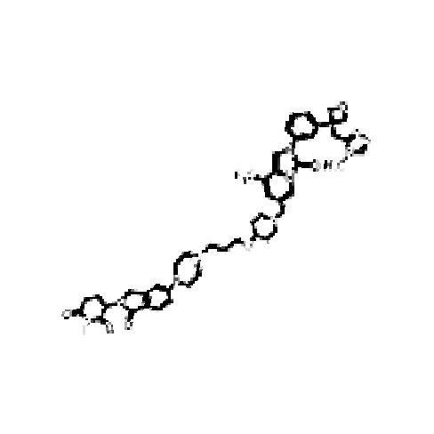 Cn1cnnc1CC1(c2cccc(-n3cc4c(C(F)(F)F)cc(CN5CCC(OCCCN6CCN(c7ccc8c(c7)CN(C7CCC(=O)NC7=O)C8=O)CC6)CC5)cn4c3=O)c2)COC1